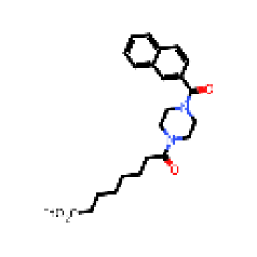 CCOC(=O)CCCCCCC(=O)N1CCN(C(=O)c2ccc3ccccc3c2)CC1